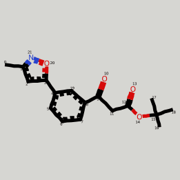 Cc1cc(-c2cccc(C(=O)CC(=O)OC(C)(C)C)c2)on1